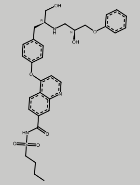 CCCCS(=O)(=O)NC(=O)c1ccc2c(Oc3ccc(C[C@@H](CO)NC[C@H](O)COc4ccccc4)cc3)ccnc2c1